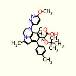 COc1ccc(N2CCn3c(C)cc4c(-c5ccc(C)cc5)c([C@H](OC(C)(C)C)C(=O)O)c(C)c2c43)nn1